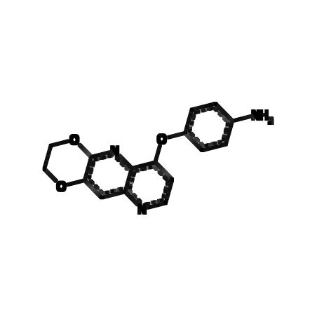 Nc1ccc(Oc2ccnc3cc4c(nc23)OCCO4)cc1